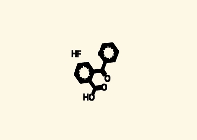 F.O=C(O)c1ccccc1C(=O)c1ccccc1